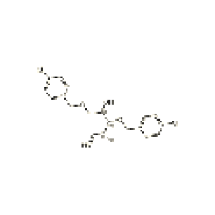 N=C[C@@H](F)[C@H](OCc1ccc(Cl)cc1)[C@H](O)COCc1ccc(Cl)cc1